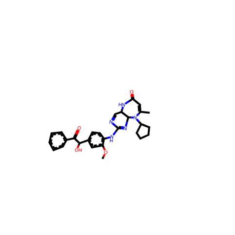 COc1cc(C(O)C(=O)c2ccccc2)ccc1NC1=NC2C(C=N1)NC(=O)C=C(C)N2C1CCCC1